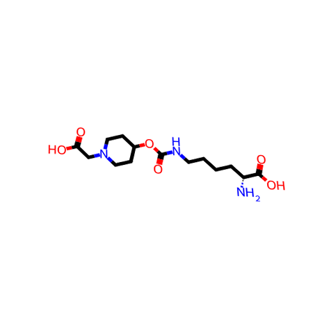 N[C@H](CCCCNC(=O)OC1CCN(CC(=O)O)CC1)C(=O)O